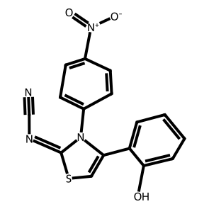 N#CN=c1scc(-c2ccccc2O)n1-c1ccc([N+](=O)[O-])cc1